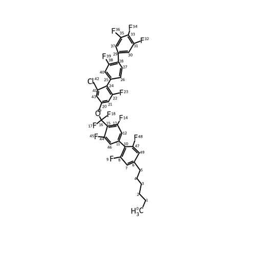 CCCCCCc1cc(F)c(-c2cc(F)c(C(F)(F)Oc3cc(F)c(-c4ccc(-c5cc(F)c(F)c(F)c5)c(F)c4)c(Cl)c3)c(F)c2)c(F)c1